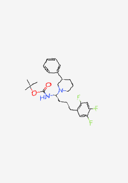 CC(C)(C)OC(=O)NC(CCCc1cc(F)c(F)cc1F)N1CCCC(c2ccccc2)C1